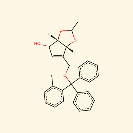 Cc1ccccc1C(OCC1=C[C@H](O)[C@@H]2OC(C)O[C@H]12)(c1ccccc1)c1ccccc1